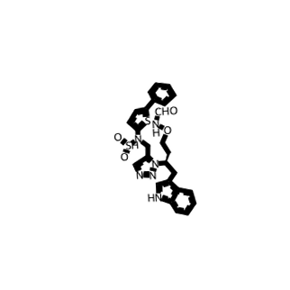 O=CNOCC[C@@H](Cc1c[nH]c2ccccc12)n1nncc1CN(c1ccc(-c2ccccc2)s1)[SH](=O)=O